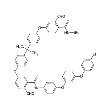 CCc1ccc(Oc2cccc(Oc3ccc(NC(=O)c4cc(Oc5ccc(C(C)(C)c6ccc(Oc7ccc(C(=O)NC(C)(C)C)c(C=O)c7)cc6)cc5)ccc4C=O)cc3)c2)cc1